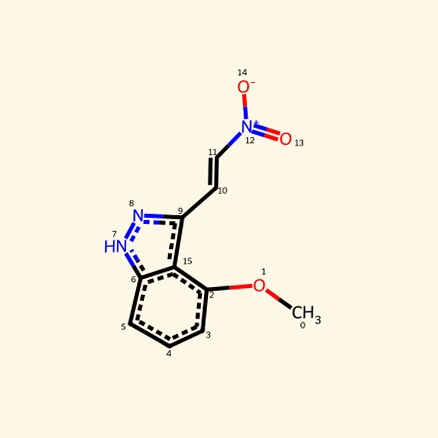 COc1cccc2[nH]nc(/C=C/[N+](=O)[O-])c12